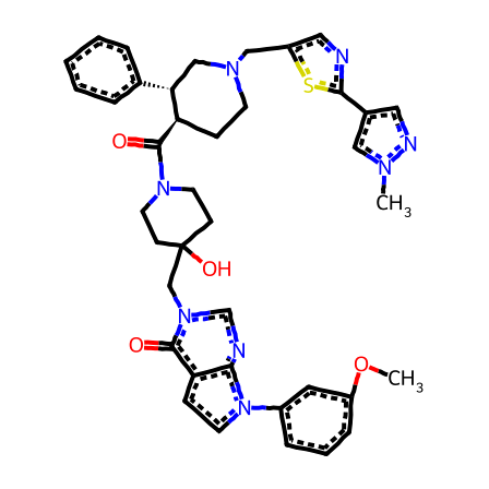 COc1cccc(-n2ccc3c(=O)n(CC4(O)CCN(C(=O)[C@@H]5CCN(Cc6cnc(-c7cnn(C)c7)s6)C[C@H]5c5ccccc5)CC4)cnc32)c1